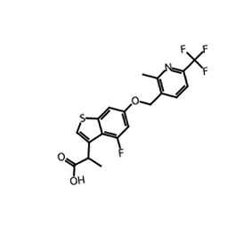 Cc1nc(C(F)(F)F)ccc1COc1cc(F)c2c(C(C)C(=O)O)csc2c1